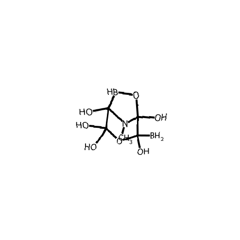 BC1(O)OC(O)(O)C2(O)BOC1(O)N2C